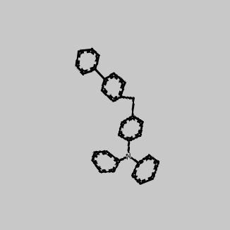 c1ccc(-c2ccc(Cc3ccc(N(c4ccccc4)c4ccccc4)cc3)cc2)cc1